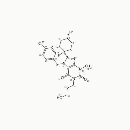 CC(C)C1CCC(F)(c2nc3c(c(=O)n(CCCO)c(=O)n3C)n2Cc2ccc(Cl)cc2)CC1